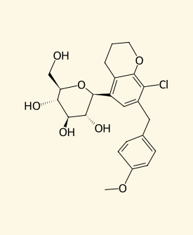 COc1ccc(Cc2cc([C@@H]3O[C@H](CO)[C@@H](O)[C@H](O)[C@H]3O)c3c(c2Cl)OCCC3)cc1